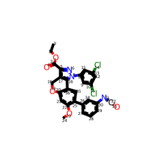 CCOC(=O)c1nn(-c2cc(Cl)cc(Cl)c2)c2c1COc1cc(OC)c(-c3cccc(N=C=O)c3)cc1-2